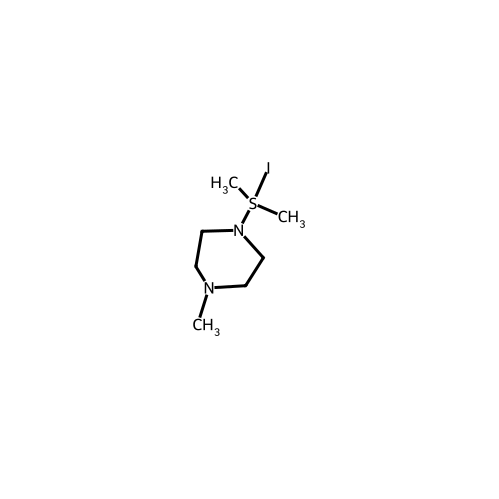 CN1CCN(S(C)(C)I)CC1